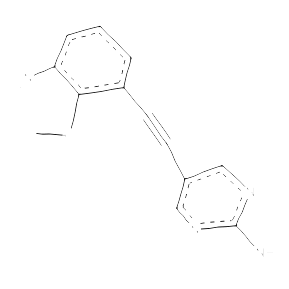 COc1c(N)cccc1C#Cc1cnc(N)nc1